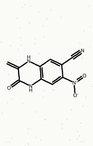 C=C1Nc2cc(C#N)c([N+](=O)[O-])cc2NC1=O